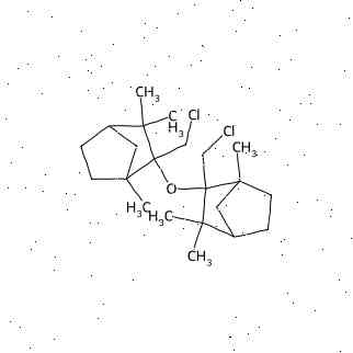 CC12CCC(C1)C(C)(C)C2(CCl)OC1(CCl)C2(C)CCC(C2)C1(C)C